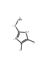 [CH2]CCSc1nc(C)c(C)o1